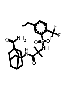 CC(C)(NS(=O)(=O)c1cc(CF)ccc1C(F)(F)F)C(=O)NC12CC3CC(C1)CC(C(N)=O)(C3)C2